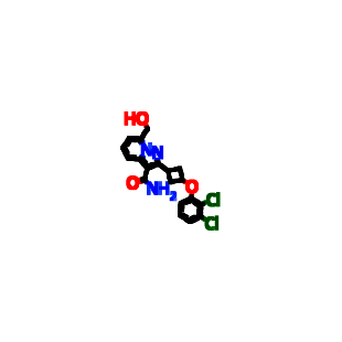 NC(=O)c1c(C2CC(Oc3cccc(Cl)c3Cl)C2)nn2c(CO)cccc12